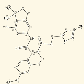 COc1ccc2c(c1)CCN(C(=O)CCc1cc(O)no1)[C@H]2C(=O)Nc1cc(F)c2c(c1)CCC2(C)C